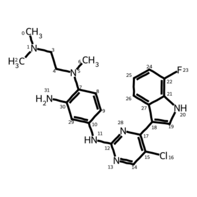 CN(C)CCN(C)c1ccc(Nc2ncc(Cl)c(-c3c[nH]c4c(F)cccc34)n2)cc1N